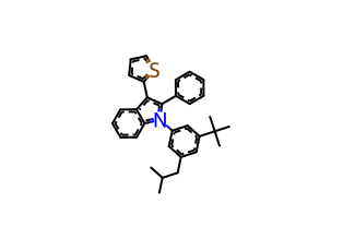 CC(C)Cc1cc(-n2c(-c3ccccc3)c(-c3cccs3)c3ccccc32)cc(C(C)(C)C)c1